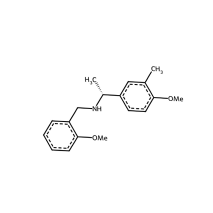 COc1ccc([C@@H](C)NCc2ccccc2OC)cc1C